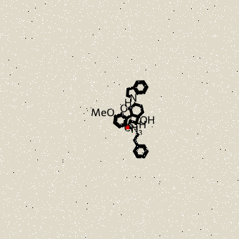 COc1ccc(C)c2c1O[C@H]1[C@H](N3CCc4ccccc43)CC[C@@]3(O)[C@H]4C(CN4CCc4ccccc4)[C@]213